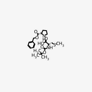 CSC[C@H](NC(=O)OC(C)(C)C)C(=O)O.O=C(OCc1ccccc1)[C@@H]1CCCN1